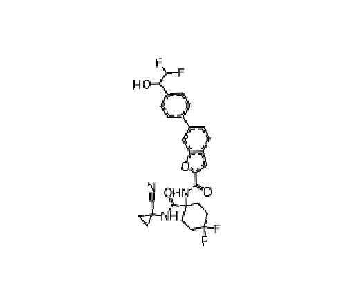 N#CC1(NC(=O)C2(NC(=O)c3cc4ccc(-c5ccc(C(O)C(F)F)cc5)cc4o3)CCC(F)(F)CC2)CC1